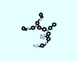 C=Cc1ccc(COCc2ccc3c(c2)C(C)(C)c2cc(N(c4ccc(-c5ccccc5)cc4)c4ccc(-c5ccc6c(c5)c5cc(COC7Cc8ccccc87)ccc5n6-c5ccc(COC6Cc7ccccc76)cc5)cc4)ccc2-3)cc1